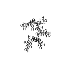 Cc1cn([C@H]2C[C@@H](OP(=O)(O)OC[C@H]3O[C@@H](n4cc(C)c(=O)[nH]c4=O)C[C@H]3OP(=O)(O)OC[C@H]3O[C@@H](n4cc(C)c(=O)[nH]c4=O)C[C@H]3OP(=O)(O)OC[C@H]3O[C@@H](n4cc(C)c(=O)[nH]c4=O)C[C@H]3OP(=O)(O)OC[C@H]3O[C@@H](n4ccc(=O)[nH]c4=O)[C@@H](O)C3O)[C@@H](CO)O2)c(=O)[nH]c1=O